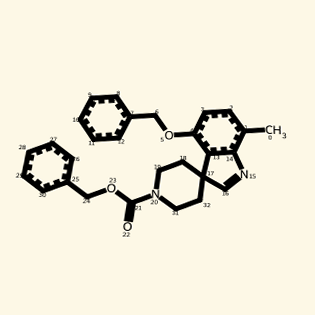 Cc1ccc(OCc2ccccc2)c2c1N=CC21CCN(C(=O)OCc2ccccc2)CC1